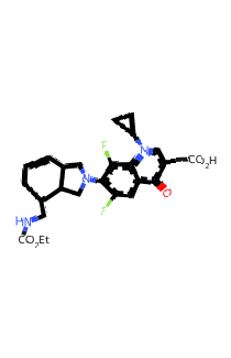 CCOC(=O)NCC1CC=CC2CN(c3c(F)cc4c(=O)c(C(=O)O)cn(C5CC5)c4c3F)CC21